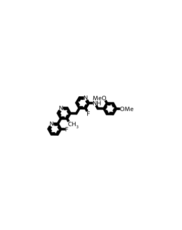 COc1ccc(CNc2nccc(Cc3cncc(-c4ncccc4F)c3C)c2F)c(OC)c1